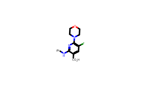 CC(C)Nc1nc(N2CCOCC2)c(F)cc1C(=O)O